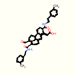 Cc1cccc(CCNC(=O)c2ccc3c(cc4ccc(C(=O)NCCc5cccc(C)c5)c5c(C=O)ccc3c45)/c2=C/C(=O)O)c1